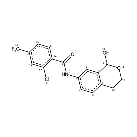 O=C(Nc1ccc2c(c1)B(O)OCC2)c1ccc(C(F)(F)F)cc1Cl